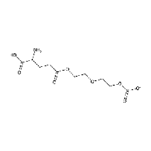 NC(CCC(=O)OCCOCCO[N+](=O)[O-])C(=O)O